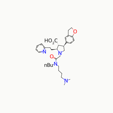 CCCCN(CCCCN(C)C)C(=O)CN1C[C@H](c2ccc3c(c2)CCO3)[C@@H](C(=O)O)[C@@H]1CCc1ccccn1